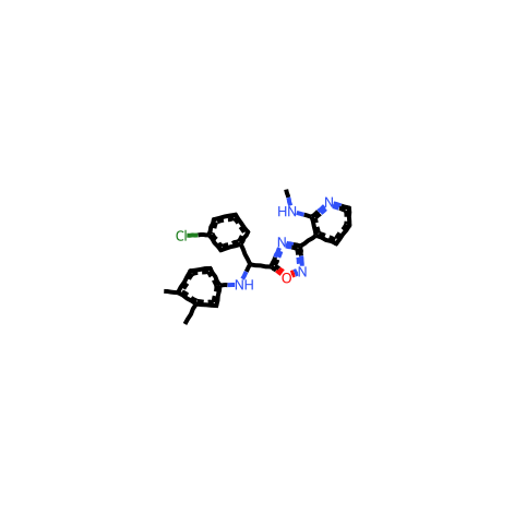 CNc1ncccc1-c1noc(C(Nc2ccc(C)c(C)c2)c2cccc(Cl)c2)n1